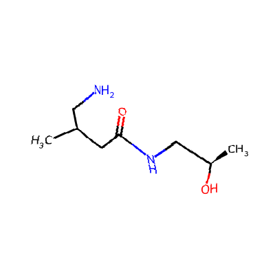 CC(CN)CC(=O)NC[C@@H](C)O